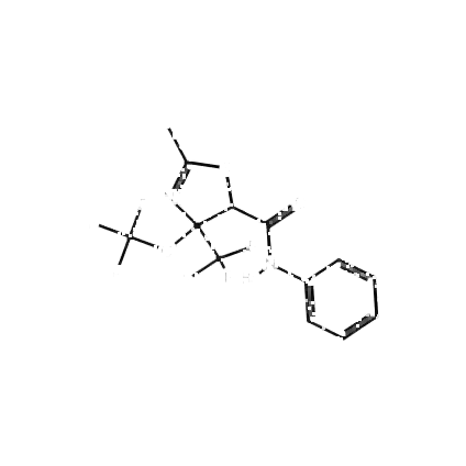 CC1=NC(OC(F)(F)F)(C(F)(F)F)C(C(=O)N(Br)c2ccccc2)S1